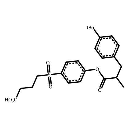 CC(Cc1ccc(C(C)(C)C)cc1)C(=O)Oc1ccc(S(=O)(=O)CCCC(=O)O)cc1